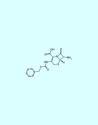 NC1C(=O)N2C(C(=O)O)=C(NC(=O)SCc3ccccc3)CS[C@@H]12